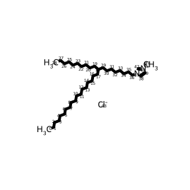 CCCCCCCCCCCCCCCCCCC(CCCCCCCCCC)CCCCCCCCn1cc[n+](C)c1.[Cl-]